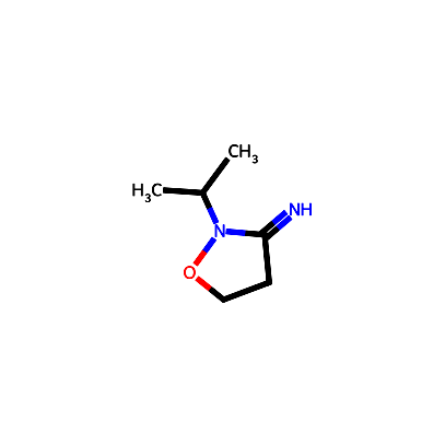 CC(C)N1OCCC1=N